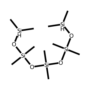 C[SiH](C)O[Si](C)(C)O[Si](C)(C)O[Si](C)(C)O[SiH](C)C